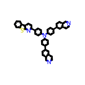 c1ccc2c(c1)sc1nc(-c3ccc(N(c4ccc(-c5ccc6cnccc6c5)cc4)c4ccc(-c5ccc6cnccc6c5)cc4)cc3)ccc12